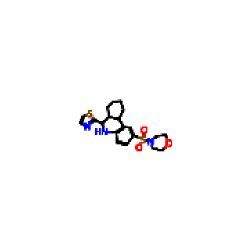 O=S(=O)(c1ccc2c(c1)C1CCCCC1C(c1nccs1)N2)N1CCOCC1